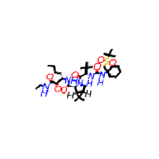 CCCC[C@H](NC(=O)[C@@H]1[C@@H]2[C@H](CN1C(=O)[C@@H](NC(=O)NC1(CS(=O)(=O)C(C)(C)C)CCCCC1)C(C)(C)C)C2(C)C)C(=O)C(=O)NCC